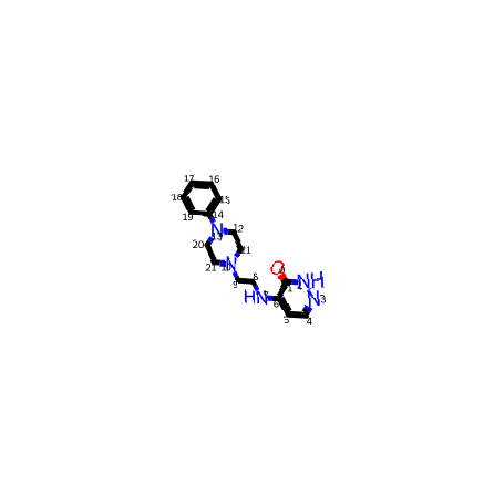 O=c1[nH]nccc1NCCN1CCN(c2ccccc2)CC1